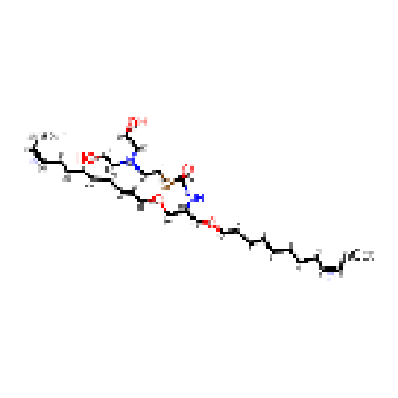 CCCCCCCC/C=C\CCCCCCCCOCC(COCCCCCCCC/C=C\CCCCCCCC)NC(=O)SCCN(CCO)CCO